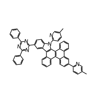 Cc1ccc(-c2ccc3c(c2)c2ccccc2c2c3c3ccccc3c3c4cc(-c5nc(-c6ccccc6)nc(-c6ccccc6)n5)ccc4n(-c4ccc(C)cn4)c32)nc1